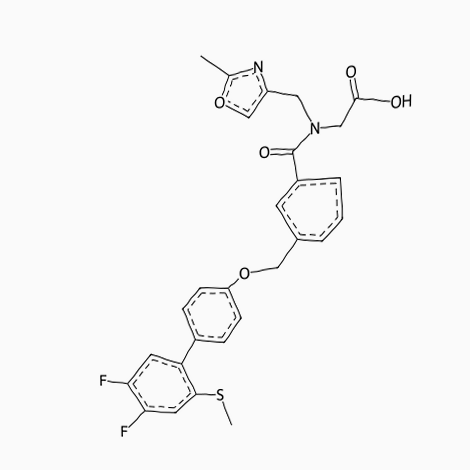 CSc1cc(F)c(F)cc1-c1ccc(OCc2cccc(C(=O)N(CC(=O)O)Cc3coc(C)n3)c2)cc1